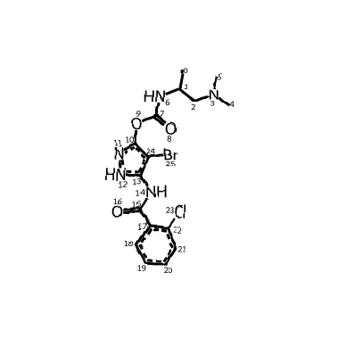 CC(CN(C)C)NC(=O)Oc1n[nH]c(NC(=O)c2ccccc2Cl)c1Br